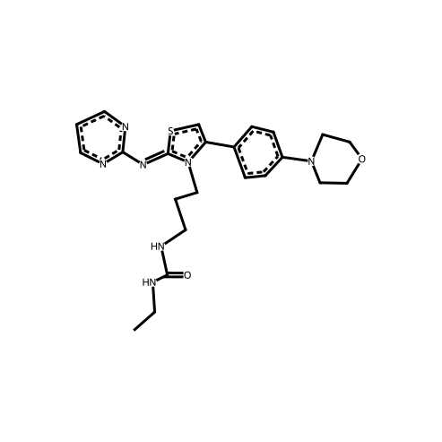 CCNC(=O)NCCCn1c(-c2ccc(N3CCOCC3)cc2)cs/c1=N\c1ncccn1